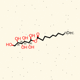 CCCCCCCCCCCCCCCCCC(=O)OC(O)[C@H](O)[C@@H](O)[C@H](O)[C@H](O)CO